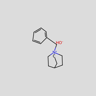 [OH-].c1ccc(C[N+]23CCC(CC2)CC3)cc1